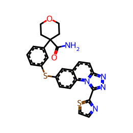 NC(=O)C1(c2cccc(Sc3ccc4c(ccc5nnc(-c6nccs6)n54)c3)c2)CCOCC1